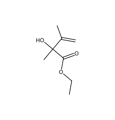 C=C(C)C(C)(O)C(=O)OCC